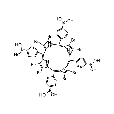 OB(O)c1ccc(-c2c3nc(c(-c4ccc(B(O)O)cc4)c4[nH]c(c(Br)c4Br)c(-c4ccc(B(O)O)cc4)c4nc(c(-c5ccc(B(O)O)cc5)c5[nH]c2c(Br)c5Br)C(Br)=C4Br)C(Br)=C3Br)cc1